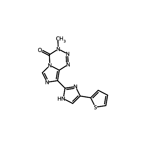 Cn1nnc2c(-c3nc(-c4cccs4)c[nH]3)ncn2c1=O